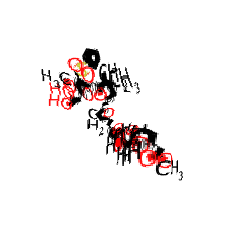 C=C1C[C@H](CC[C@]23C[C@H]4O[C@H]5[C@@H](O2)[C@H]2O[C@@H](CC(=O)OC)CC[C@@H]2O[C@H]5[C@H]4O3)O[C@H]1CC[C@H]1C[C@@H](C)C(=C)[C@@H](C[C@@H]2O[C@H](C[C@H](O)CO)[C@H](OC)[C@H]2CS(=O)(=O)c2ccccc2)O1